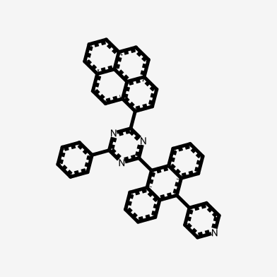 c1ccc(-c2nc(-c3c4ccccc4c(-c4ccncc4)c4ccccc34)nc(-c3ccc4ccc5cccc6ccc3c4c56)n2)cc1